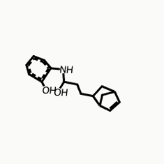 Oc1ccccc1NC(O)CCC1CC2C=CC1C2